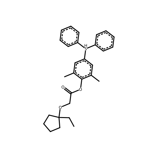 CCC1(OCC(=O)Oc2c(C)cc([SH](c3ccccc3)c3ccccc3)cc2C)CCCC1